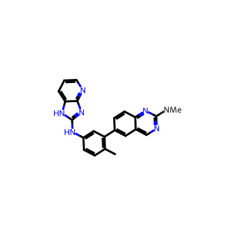 CNc1ncc2cc(-c3cc(Nc4nc5ncccc5[nH]4)ccc3C)ccc2n1